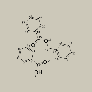 O=C(O)c1ccccc1.O=C(OCc1ccccc1)c1ccccc1